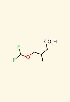 CC(COC(F)F)CC(=O)O